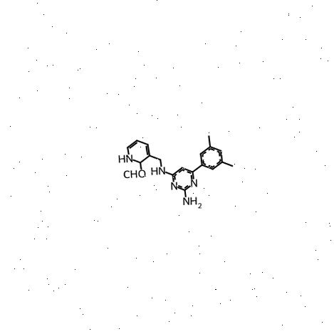 Cc1cc(C)cc(-c2cc(NCC3=CC=CNC3C=O)nc(N)n2)c1